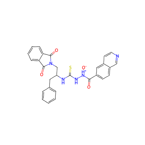 O=C1c2ccccc2C(=O)N1CC(Cc1ccccc1)NC(=S)N[NH+]([O-])C(=O)c1ccc2cnccc2c1